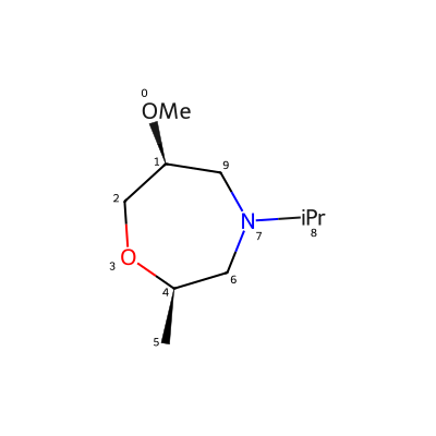 CO[C@@H]1CO[C@H](C)CN(C(C)C)C1